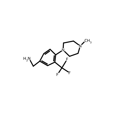 CN1CCN(c2ccc(CN)cc2C(F)(F)F)CC1